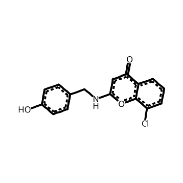 O=c1cc(NCc2ccc(O)cc2)oc2c(Cl)cccc12